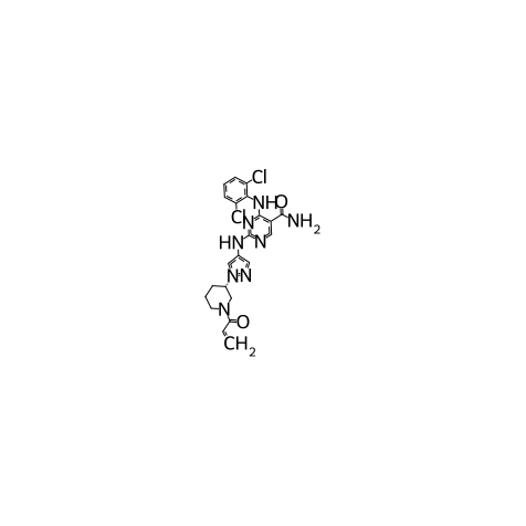 C=CC(=O)N1CCC[C@H](n2cc(Nc3ncc(C(N)=O)c(Nc4c(Cl)cccc4Cl)n3)cn2)C1